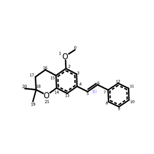 COc1cc(/C=C/c2ccccc2)cc2c1CCC(C)(C)O2